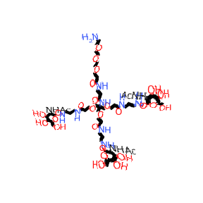 CC(=O)NC1C(O)[C@@H](O)C(CO)O[C@H]1ONCCCNC(=O)CCOCC(COCCC(=O)NCCCNO[C@@H]1OC(CO)[C@H](O)C(O)C1NC(C)=O)(COCCC(=O)NCCCNO[C@@H]1OC(CO)[C@H](O)C(O)C1NC(C)=O)NC(=O)CCNC(=O)CCOCCOCCOCCN